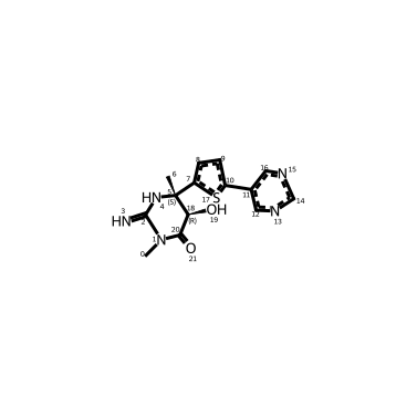 CN1C(=N)N[C@](C)(c2ccc(-c3cncnc3)s2)[C@@H](O)C1=O